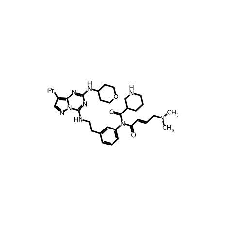 CC(C)c1cnn2c(NCCc3cccc(N(C(=O)C=CCN(C)C)C(=O)C4CCCNC4)c3)nc(NC3CCOCC3)nc12